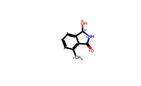 Cc1cccc2c1C(=O)NC2O